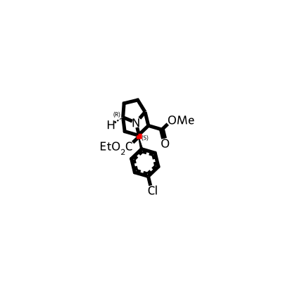 CCOC(=O)CN1C2CC[C@@H]1C[C@H](c1ccc(Cl)cc1)C2C(=O)OC